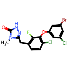 Cn1c(Cc2ccc(Cl)c(Oc3cc(Cl)cc(Br)c3)c2F)n[nH]c1=O